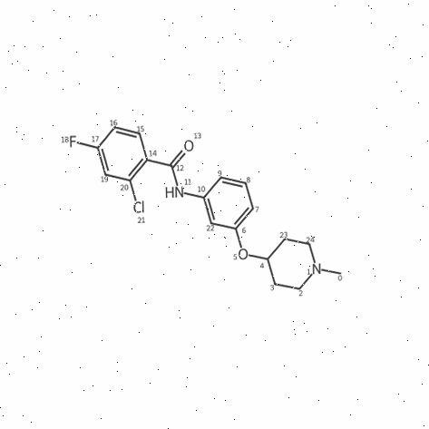 CN1CCC(Oc2cccc(NC(=O)c3ccc(F)cc3Cl)c2)CC1